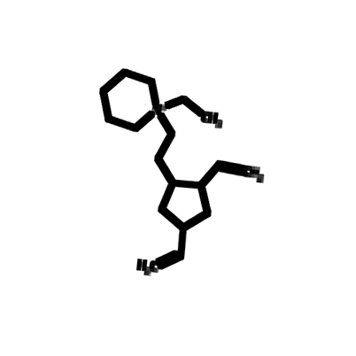 C=CC1CC(C=C)C(CC[N+]2(CC)CCCCC2)C1